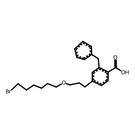 O=C(O)c1ccc(CCCOCCCCCCBr)cc1Cc1ccccc1